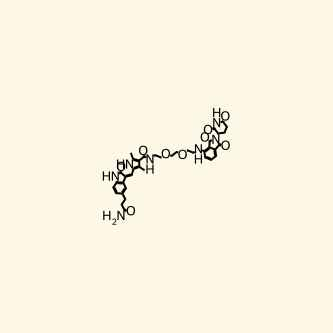 Cc1[nH]c(/C=C2\C(=O)Nc3ccc(CCC(N)=O)cc32)c(C)c1C(=O)NCCOCCOCCNc1cccc2c1C(=O)N(C1CCC(=O)NC1=O)C2=O